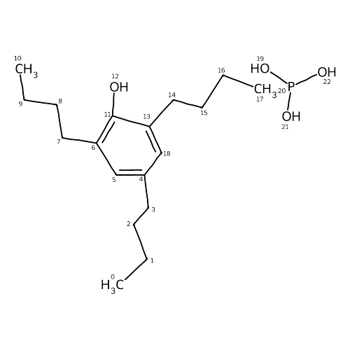 CCCCc1cc(CCCC)c(O)c(CCCC)c1.OP(O)O